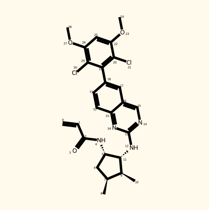 C=CC(=O)N[C@H]1C[C@H](C)[C@H](C)[C@H]1Nc1ncc2cc(-c3c(Cl)c(OC)cc(OC)c3Cl)ccc2n1